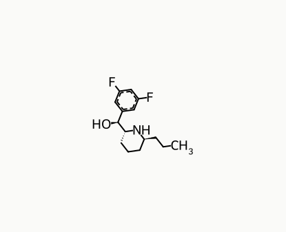 CCC[C@H]1CCC[C@H]([C@@H](O)c2cc(F)cc(F)c2)N1